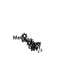 COc1ccccc1C(=O)NCc1ccc(-c2nn(C3CCCC3)c(N)c2C(N)=O)c(F)c1